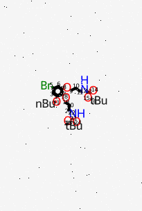 CCCCOc1cc(Br)cc(OCCCNC(=O)OC(C)(C)C)c1OCCCNC(=O)OC(C)(C)C